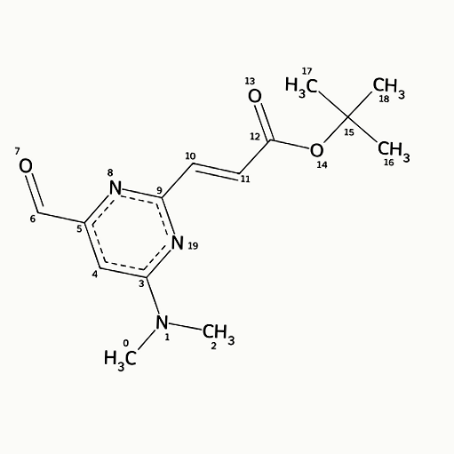 CN(C)c1cc(C=O)nc(C=CC(=O)OC(C)(C)C)n1